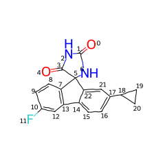 O=C1NC(=O)C2(N1)c1ccc(F)cc1-c1ccc(C3CC3)cc12